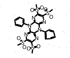 CS(=O)(=O)c1nc2c(nc1S(C)(=O)=O)N(c1ccccc1)c1nc(S(C)(=O)=O)c(S(C)(=O)=O)nc1N2c1ccccc1